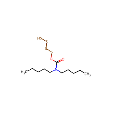 CCCCCN(CCCCC)C(=O)OSSSS